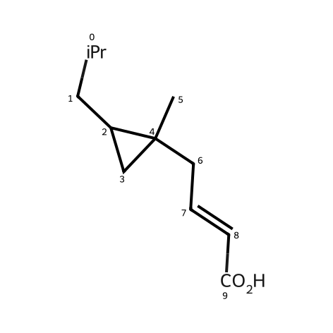 CC(C)CC1CC1(C)CC=CC(=O)O